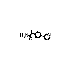 C=C(C(N)=O)c1ccc(-c2cccnc2)cc1